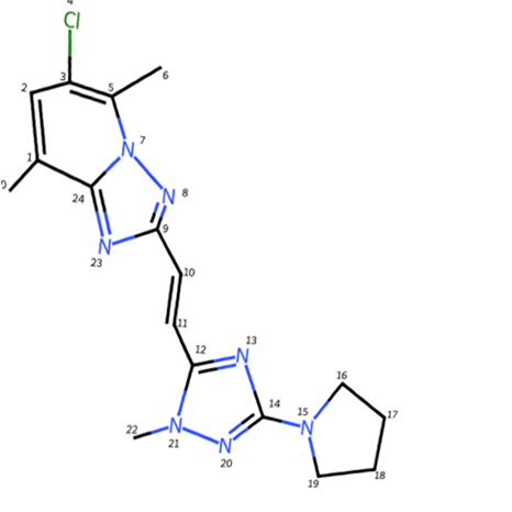 Cc1cc(Cl)c(C)n2nc(/C=C/c3nc(N4CCCC4)nn3C)nc12